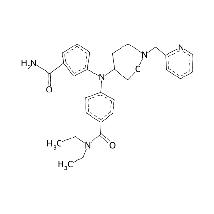 CCN(CC)C(=O)c1ccc(N(c2cccc(C(N)=O)c2)C2CCN(Cc3ccccn3)CC2)cc1